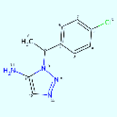 CC(c1ccc(Cl)cc1)n1nncc1N